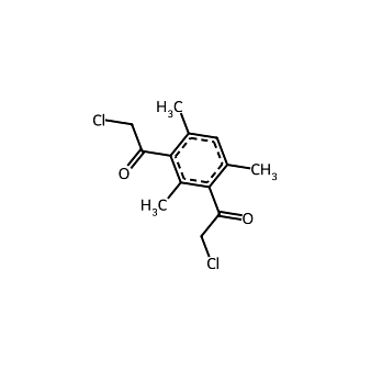 Cc1cc(C)c(C(=O)CCl)c(C)c1C(=O)CCl